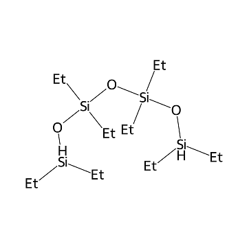 CC[SiH](CC)O[Si](CC)(CC)O[Si](CC)(CC)O[SiH](CC)CC